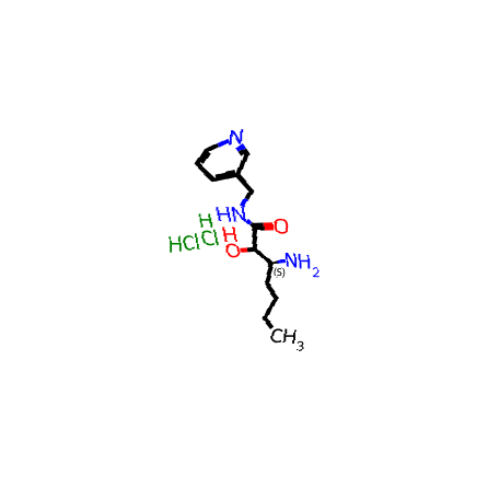 CCCC[C@H](N)C(O)C(=O)NCc1cccnc1.Cl.Cl